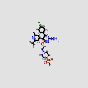 Cc1cc(-c2c(OCCN3CCN(S(C)(=O)=O)CC3)nc(N)nc2-c2ccc(F)cc2)cc(C(F)F)n1